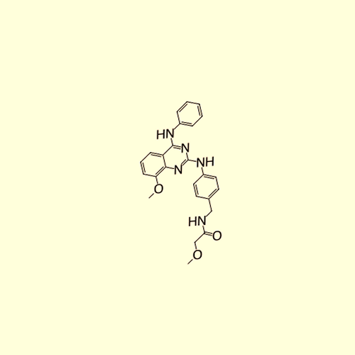 COCC(=O)NCc1ccc(Nc2nc(Nc3ccccc3)c3cccc(OC)c3n2)cc1